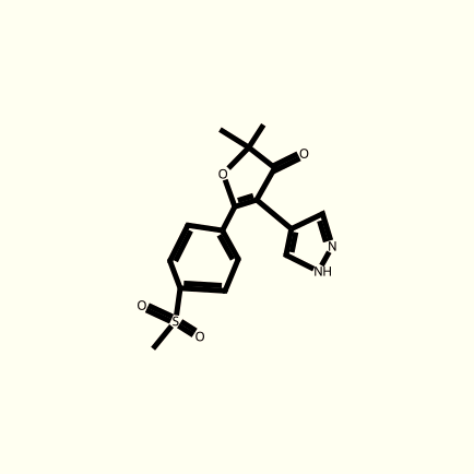 CC1(C)OC(c2ccc(S(C)(=O)=O)cc2)=C(c2cn[nH]c2)C1=O